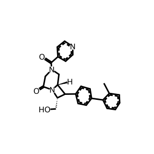 Cc1ccccc1-c1ccc(C2[C@H]3CN(C(=O)c4ccncc4)CC(=O)N3[C@H]2CO)cc1